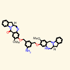 COc1cc2c(cc1OCc1cc(N)cc(COc3cc4c(cc3OC)CN3c5ccccc5C[C@H]3CN4)c1)N=C[C@@H]1Cc3ccccc3N1C2=O